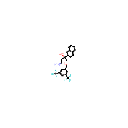 NCCC(O)(COCc1cc(C(F)(F)F)cc(C(F)(F)F)c1)c1ccc2ccccc2c1